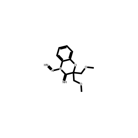 COCC1(COC)Oc2ccccc2N(N=N)C1=N